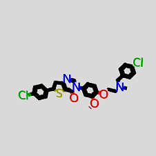 COc1cc(-n2cnc3c(c2=O)SC(c2ccc(Cl)cc2)C3)ccc1OCCN(C)Cc1ccc(Cl)cc1